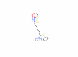 C(=CC=C1Nc2ccccc2S1)C=Cc1nc2c(s1)C=CCO2